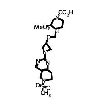 CO[C@H]1CN(C(=O)O)CC[C@H]1COC1CN(c2ncc3c(n2)CCN(S(C)(=O)=O)C3)C1